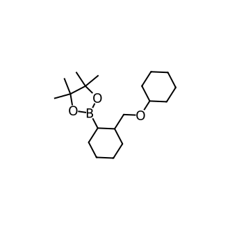 CC1(C)OB(C2CCCCC2COC2CCCCC2)OC1(C)C